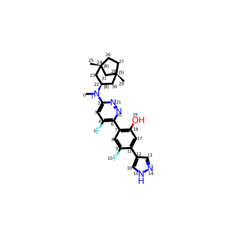 CN(c1cc(F)c(-c2cc(F)c(-c3cn[nH]c3)cc2O)nn1)[C@H]1C[C@]2(C)CC[C@](C)(C1)C2